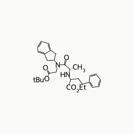 CCOC(=O)C(CCc1ccccc1)N[C@@H](C)C(=O)N(CC(=O)OC(C)(C)C)C1Cc2ccccc2C1